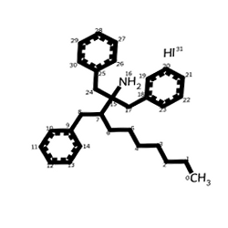 CCCCCCCC(Cc1ccccc1)C(N)(Cc1ccccc1)Cc1ccccc1.I